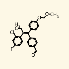 CCC(=C(c1ccc(C=O)cc1)c1ccc(OCOC)cc1)c1ccc(F)cc1Cl